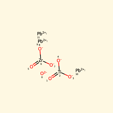 [O-2].[O]=[Ti]([O-])[O-].[O]=[Zr]([O-])[O-].[Pb+2].[Pb+2].[Pb+2]